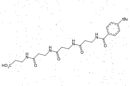 CC(C)(C)c1ccc(C(=O)NCCC(=O)NCCC(=O)NCCC(=O)NCCC(=O)O)cc1